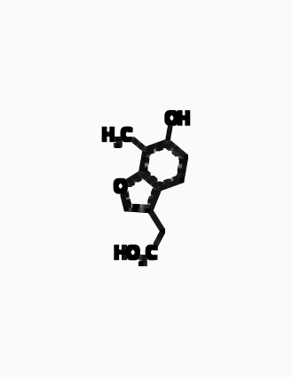 Cc1c(O)ccc2c(CC(=O)O)coc12